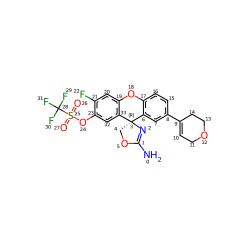 NC1=N[C@]2(CO1)c1cc(C3=CCOCC3)ccc1Oc1cc(F)c(OS(=O)(=O)C(F)(F)F)cc12